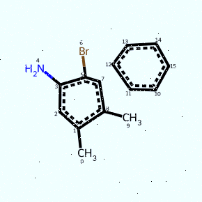 Cc1cc(N)c(Br)cc1C.c1ccccc1